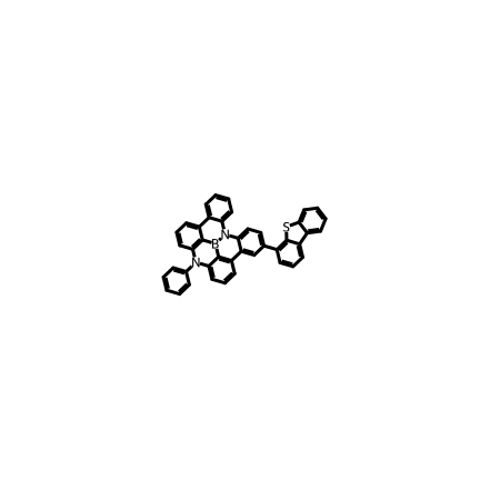 c1ccc(N2c3cccc4c3B3c5c(cccc52)-c2cc(-c5cccc6c5sc5ccccc56)ccc2N3c2ccccc2-4)cc1